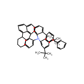 CC(C)(C)c1cc(N(c2ccccc2-c2ccc(-c3ccccc3)cc2)c2ccccc2-c2cccc3cccc(C4CCCCC4)c23)cc(C(C)(C)C)c1